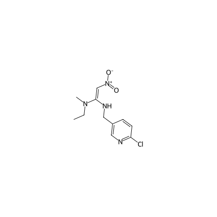 CCN(C)/C(=C/[N+](=O)[O-])NCc1ccc(Cl)nc1